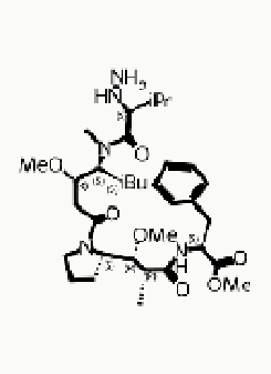 CC[C@H](C)[C@@H]([C@@H](CC(=O)N1CCC[C@H]1[C@H](OC)[C@@H](C)C(=O)N[C@@H](Cc1ccccc1)C(=O)OC)OC)N(C)C(=O)[C@@H](NN)C(C)C